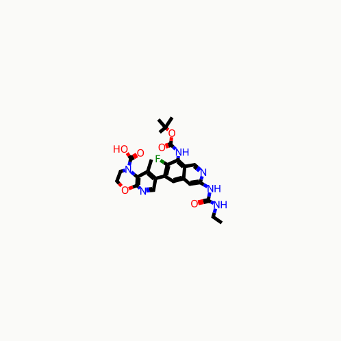 CCNC(=O)Nc1cc2cc(-c3cnc4c(c3C)N(C(=O)O)CCO4)c(F)c(NC(=O)OC(C)(C)C)c2cn1